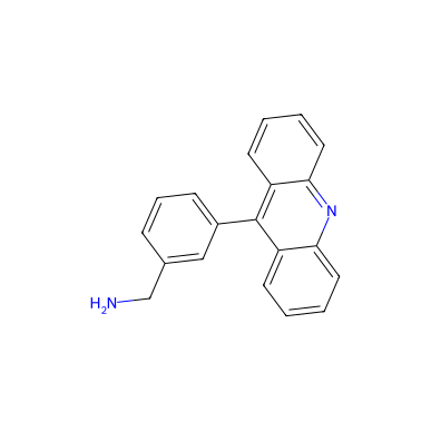 NCc1cccc(-c2c3ccccc3nc3ccccc23)c1